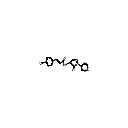 O=C(C=Cc1ccc(Cl)cc1)Nc1cnn(-c2ccncc2)c1Cl